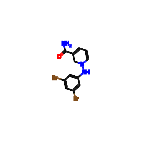 NC(=O)C1=CC=CN(Nc2cc(Br)cc(Br)c2)C1